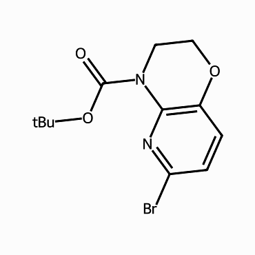 CC(C)(C)OC(=O)N1CCOc2ccc(Br)nc21